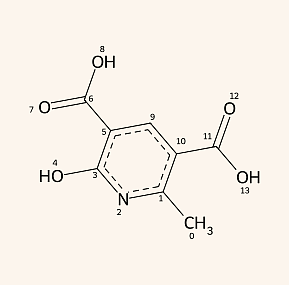 Cc1nc(O)c(C(=O)O)cc1C(=O)O